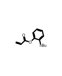 C=CC(=O)Oc1ccccc1CCCC